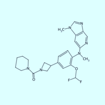 CN(c1cc2c(cn1)ncn2C)c1ccc(C2CN(C(=O)N3CCCCC3)C2)cc1OC(F)F